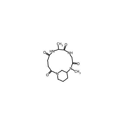 CC1NC(=O)C[CH]C(=O)N2CCCC(C2)N(C)C(=O)CNC1=O